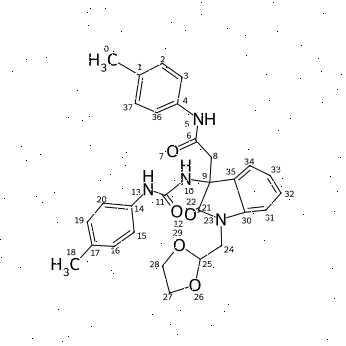 Cc1ccc(NC(=O)CC2(NC(=O)Nc3ccc(C)cc3)C(=O)N(CC3OCCO3)c3ccccc32)cc1